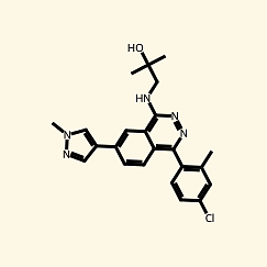 Cc1cc(Cl)ccc1-c1nnc(NCC(C)(C)O)c2cc(-c3cnn(C)c3)ccc12